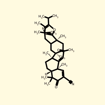 CCC(C)(C)CC1C[C@](C)([C@]2(C)CC[C@H]3C(C)(C)C(=O)C(C#N)=C[C@]3(C)/C2=C/C(C)=O)CC[C@]1(C)c1nnc(C(C)C)o1